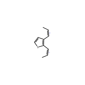 C/C=C\c1ccsc1/C=C\C